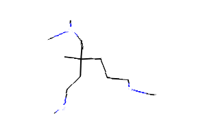 [CH2]C(CCCNCC)(CCNCC)CN(C)C